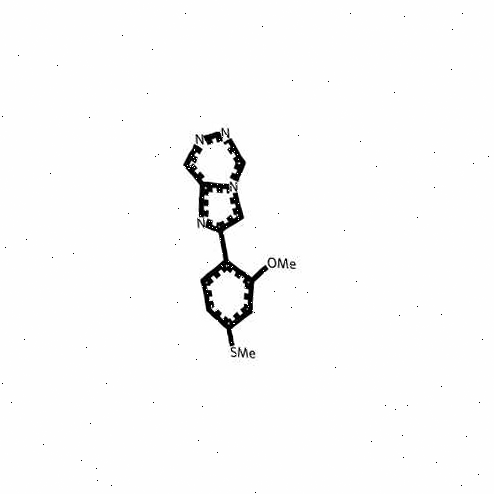 COc1cc(SC)ccc1-c1cn2cnncc2n1